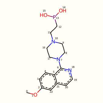 COc1ccc2c(N3CCN(CCP(O)O)CC3)nccc2c1